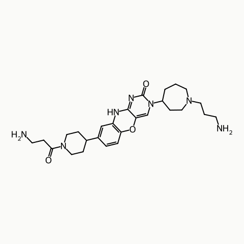 NCCCN1CCCC(n2cc3c(nc2=O)Nc2cc(C4CCN(C(=O)CCN)CC4)ccc2O3)CC1